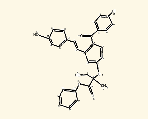 CC(CO)(Oc1ccc(C(=O)c2ccc(Cl)cc2)c(/C=C/c2ccc(O)cc2)c1)C(=O)Oc1ccccc1